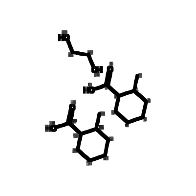 CC1CCCCC1C(=O)O.CC1CCCCC1C(=O)O.OCCO